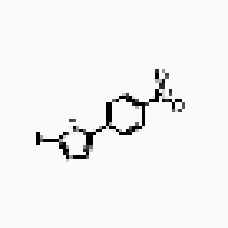 O=[N+]([O-])c1ccc(-c2ccc(I)s2)cc1